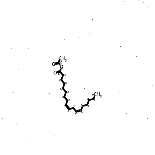 CCCCC/C=C\C/C=C\CCCCCCCC(=O)OC(C)=O